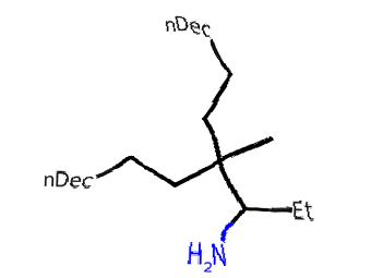 CCCCCCCCCCCCC(C)(CCCCCCCCCCCC)C(N)CC